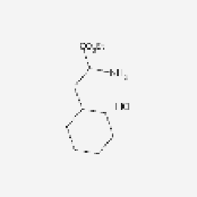 CCOC(=O)C(N)CC1CCCCC1.Cl